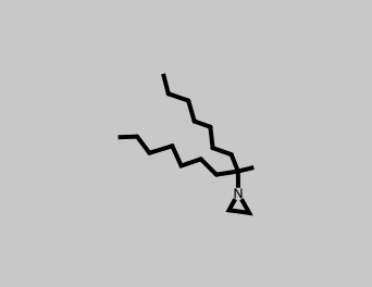 CCCCCCCC(C)(CCCCCCC)N1CC1